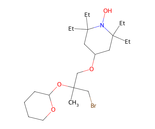 CCC1(CC)CC(OCC(C)(CBr)OC2CCCCO2)CC(CC)(CC)N1O